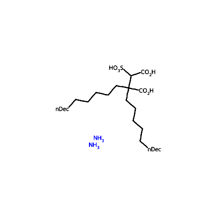 CCCCCCCCCCCCCCCC(CCCCCCCCCCCCCCC)(C(=O)O)C(C(=O)O)S(=O)(=O)O.N.N